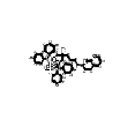 CC(C)(C)[Si](OCC(F)(CCCCc1ccc2cccnc2n1)CO[Si](c1ccccc1)(c1ccccc1)C(C)(C)C)(c1ccccc1)c1ccccc1